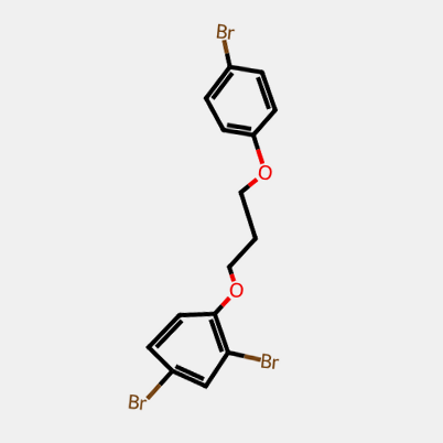 Brc1ccc(OCCCOc2ccc(Br)cc2Br)cc1